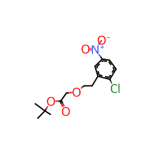 CC(C)(C)OC(=O)COCCc1cc([N+](=O)[O-])ccc1Cl